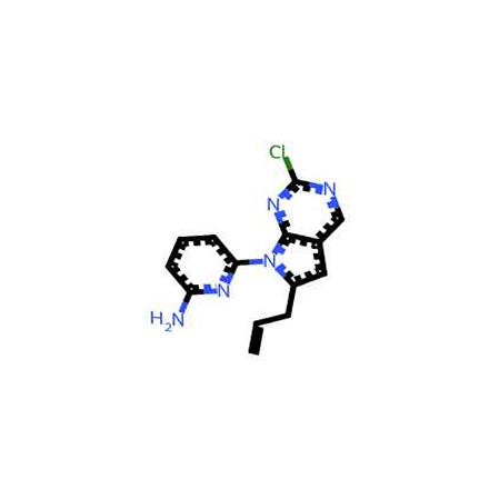 C=CCc1cc2cnc(Cl)nc2n1-c1cccc(N)n1